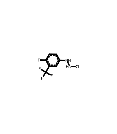 Fc1ccc(NNCl)cc1C(F)(F)F